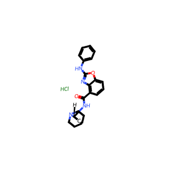 Cl.O=C(N[C@@H]1CC2CCN1CC2)c1cccc2oc(Nc3ccccc3)nc12